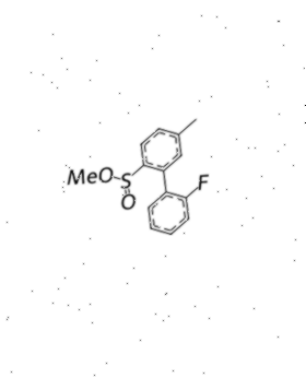 COS(=O)c1ccc(C)cc1-c1ccccc1F